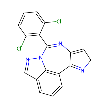 Clc1cccc(Cl)c1C1=NC2=CCN=C2c2cccc3cnn1c23